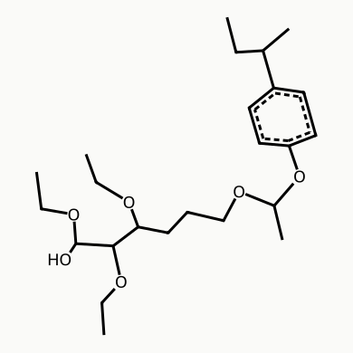 CCOC(O)C(OCC)C(CCCOC(C)Oc1ccc(C(C)CC)cc1)OCC